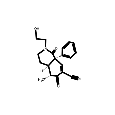 C[C@H]1C(=O)C(C#N)=C[C@]2(c3ccccc3)C(=O)N(CCO)CC[C@H]12